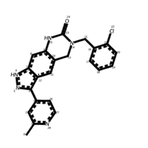 Cc1cc(-c2n[nH]c3cc4c(cc23)CN(Cc2ccccc2Cl)C(=O)N4)ccn1